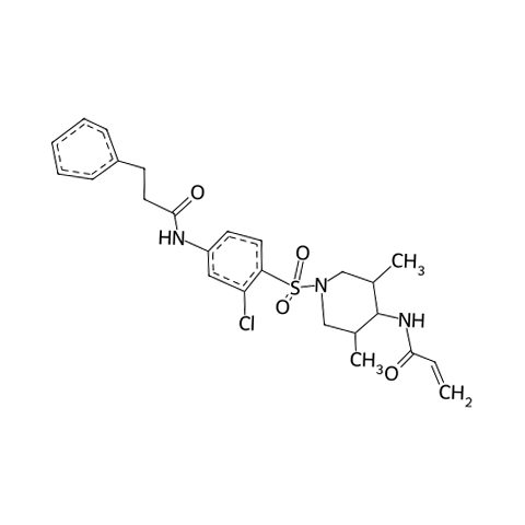 C=CC(=O)NC1C(C)CN(S(=O)(=O)c2ccc(NC(=O)CCc3ccccc3)cc2Cl)CC1C